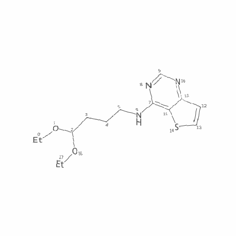 CCOC(CCCNc1ncnc2ccsc12)OCC